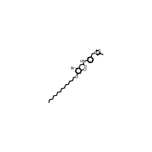 CCCCCCCCCCCCCCOc1ccc(CC(=O)Nc2cccc(C[n+]3csc(C)c3)c2)c(Cl)c1.[Br-]